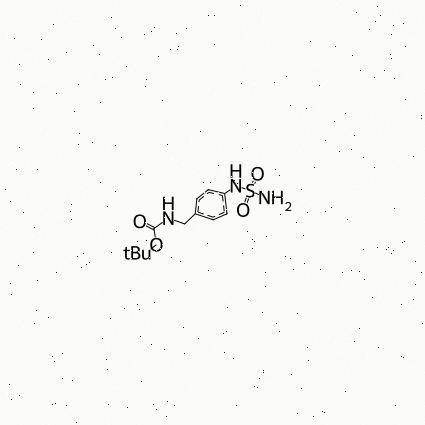 CC(C)(C)OC(=O)NCc1ccc(NS(N)(=O)=O)cc1